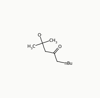 CCCCCC(=O)CC(C)(C)[O]